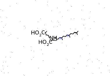 CC(C)=CCC/C(C)=C/CC/C(C)=C/CSCC(NCCCC(C)C(=O)O)C(=O)O